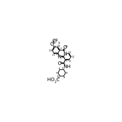 O=C(N[C@H]1CC[C@@H](C(=O)O)CC1)c1cccn2c(=O)c3cc(OC(F)(F)F)ccc3nc12